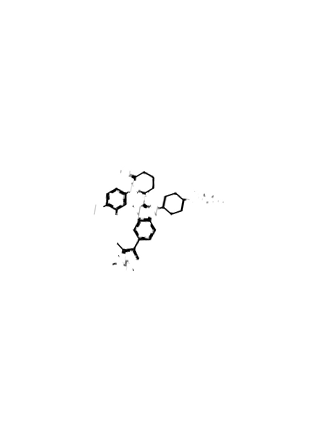 COC1CCC(n2c([C@@H]3CCCC(=O)N3c3ccc(F)c(F)c3)nc3cc(-c4cnn(C)c4C)ccc32)CC1